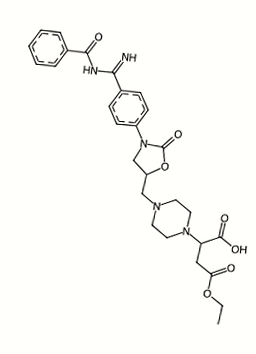 CCOC(=O)CC(C(=O)O)N1CCN(CC2CN(c3ccc(C(=N)NC(=O)c4ccccc4)cc3)C(=O)O2)CC1